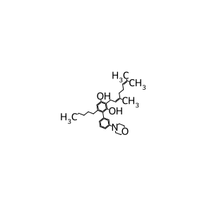 CCCCCc1cc(O)c(CC=C(C)CCC=C(C)C)c(O)c1-c1cccc(N2CCOCC2)c1